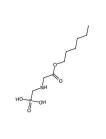 CCCCCCOC(=O)CNCP(=O)(O)O